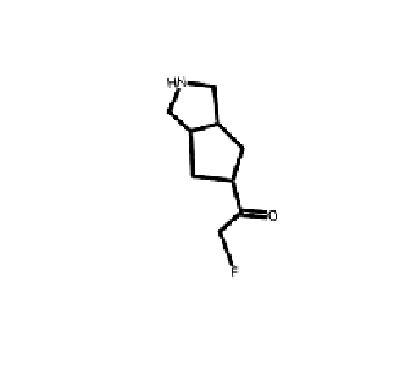 O=C(CF)C1CC2CNCC2C1